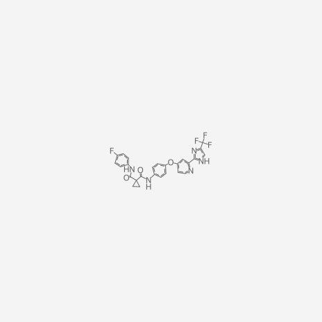 O=C(Nc1ccc(F)cc1)C1(C(=O)Nc2ccc(Oc3ccnc(-c4nc(C(F)(F)F)c[nH]4)c3)cc2)CC1